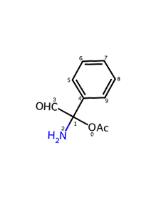 CC(=O)OC(N)(C=O)c1ccccc1